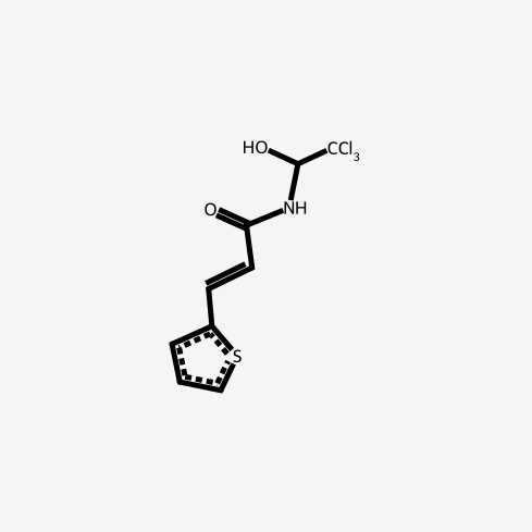 O=C(/C=C/c1cccs1)NC(O)C(Cl)(Cl)Cl